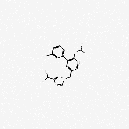 FC(F)Oc1ncc(Cn2cnc(C(F)F)n2)cc1-c1cccc(Cl)c1